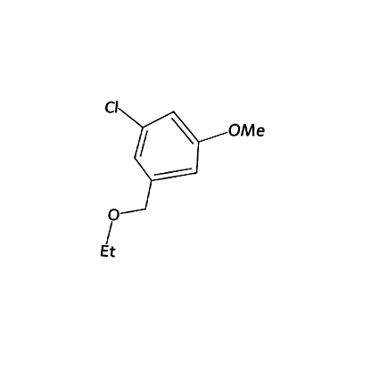 CCOCc1cc(Cl)cc(OC)c1